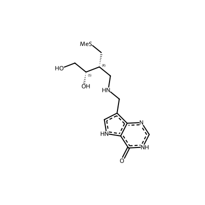 CSC[C@H](CNCc1c[nH]c2c(=O)[nH]cnc12)[C@H](O)CO